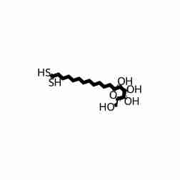 OC[C@H]1OC(CCCCCCCCCCCC(S)S)[C@H](O)[C@@H](O)[C@@H]1O